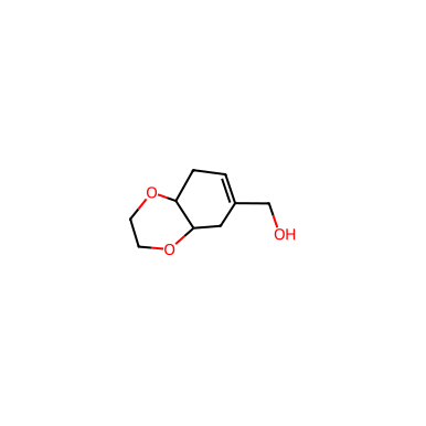 OCC1=CCC2OCCOC2C1